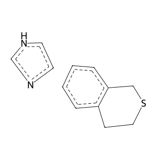 c1c[nH]cn1.c1ccc2c(c1)CCSC2